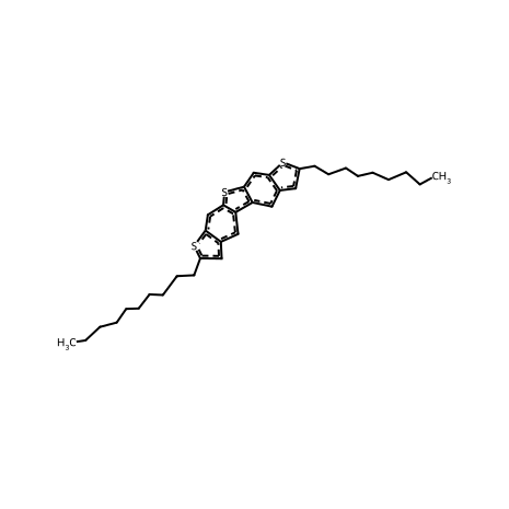 CCCCCCCCCCc1cc2cc3c(cc2s1)sc1cc2sc(CCCCCCCCC)cc2cc13